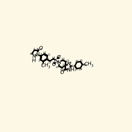 Cc1cc(N2NCCC2=O)ccc1CCS(=O)(=O)N1CCC2(CC1)N=C([C@H]1CC[C@H](C)CC1)NC2=O